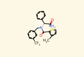 Cc1ccsc1C(=O)N(Cc1cccc(C(F)(F)F)c1)[C@@H](C(N)=O)c1ccccc1